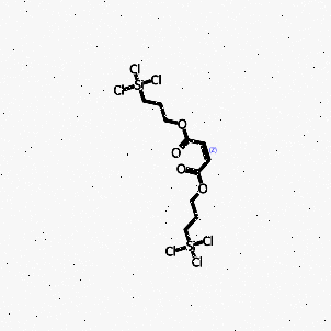 O=C(/C=C\C(=O)OCCC[Si](Cl)(Cl)Cl)OCCC[Si](Cl)(Cl)Cl